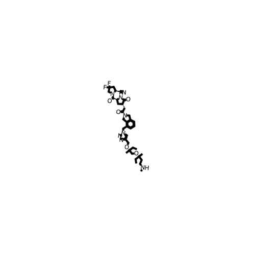 CCC(C)(CCNC)OCC(C)(CC)OCc1cn(Cc2cccc3c2CN(C(=O)C[C@@H]2C[C@@H](C(=O)N4CC(F)(F)C[C@H]4C#N)NC2=O)C3)nn1